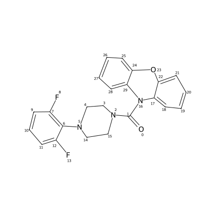 O=C(N1CCN(c2c(F)cccc2F)CC1)N1c2ccccc2Oc2ccccc21